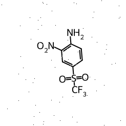 Nc1ccc(S(=O)(=O)C(F)(F)F)cc1[N+](=O)[O-]